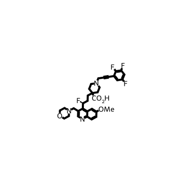 COc1ccc2ncc(CN3CCOCC3)c([C@@H](F)CCC3(C(=O)O)CCN(CC#Cc4cc(F)cc(F)c4F)CC3)c2c1